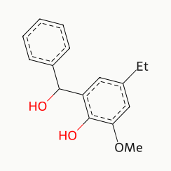 CCc1cc(OC)c(O)c(C(O)c2ccccc2)c1